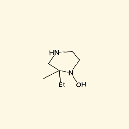 CCC1(C)CNCCN1O